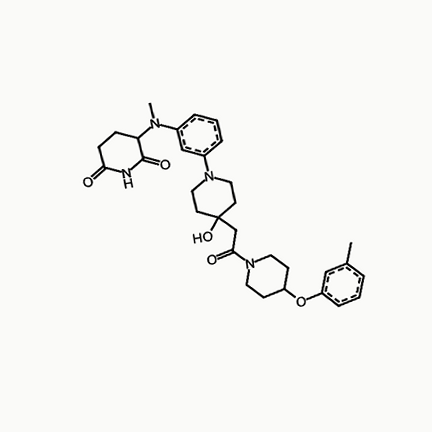 Cc1cccc(OC2CCN(C(=O)CC3(O)CCN(c4cccc(N(C)C5CCC(=O)NC5=O)c4)CC3)CC2)c1